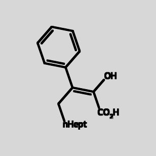 CCCCCCCCC(=C(O)C(=O)O)c1ccccc1